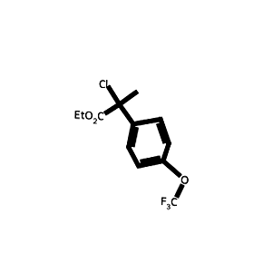 CCOC(=O)C(C)(Cl)c1ccc(OC(F)(F)F)cc1